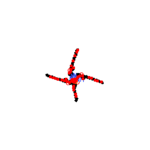 CCCCCCCCCCCCCCCc1cccc(Oc2ccc3c(c2)C2=NC/3=N\c3c4cc(Oc5cccc(CCCCCCCCCCCCCCC)c5)ccc4cn3B(OS(=O)(=O)c3ccc(CCCCCCCCCCCC)cc3)N3C(=N)c4cc(Oc5cccc(CCCCCCCCCCCCCCC)c5)ccc4/C3=N/2)c1